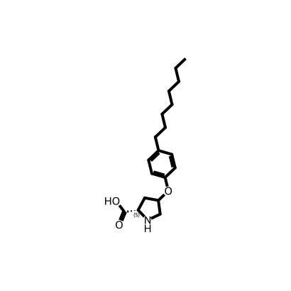 CCCCCCCCc1ccc(OC2CN[C@H](C(=O)O)C2)cc1